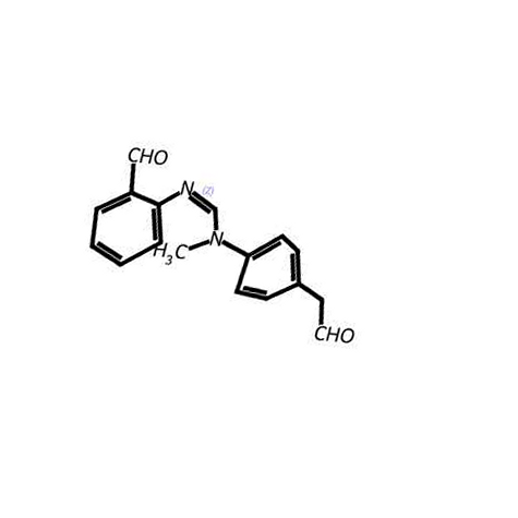 CN(/C=N\c1ccccc1C=O)c1ccc(CC=O)cc1